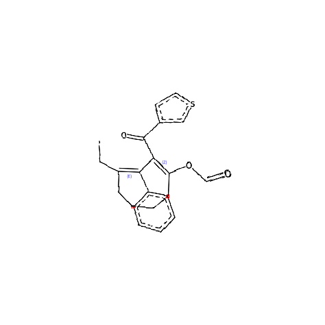 CC/C1=C(c2ccccc2)\C(C(=O)c2ccsc2)=C(\OC=O)CCCC1